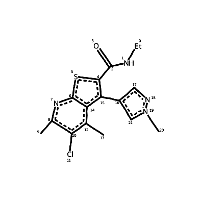 CCNC(=O)c1sc2nc(C)c(Cl)c(C)c2c1-c1cnn(C)c1